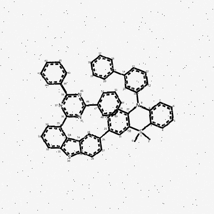 CS1(C)c2ccccc2N(c2cccc(-c3ccccc3)c2)c2ccc(-c3ccc4sc5cccc(-c6nc(-c7ccccc7)nc(-c7ccccc7)n6)c5c4c3)cc21